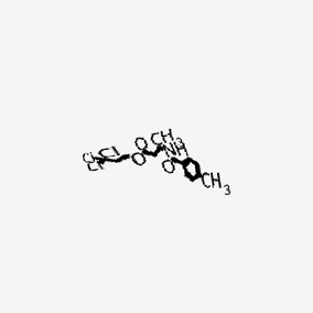 Cc1ccc(C(=O)NC(C)CC(=O)OCCC(Cl)(Cl)Cl)cc1